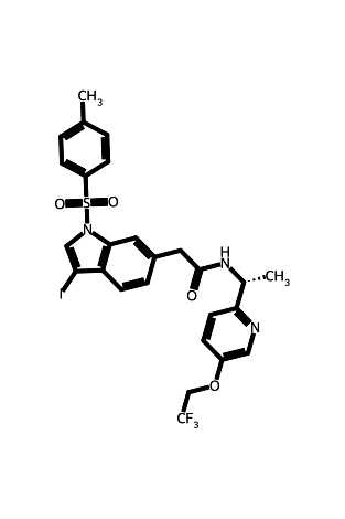 Cc1ccc(S(=O)(=O)n2cc(I)c3ccc(CC(=O)N[C@H](C)c4ccc(OCC(F)(F)F)cn4)cc32)cc1